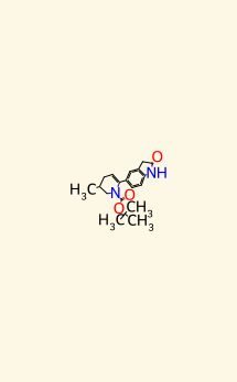 CC1CC=C(c2ccc3c(c2)CC(=O)N3)N(C(=O)OC(C)(C)C)C1